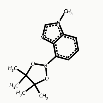 Cn1cnc2c(B3OC(C)(C)C(C)(C)O3)cccc21